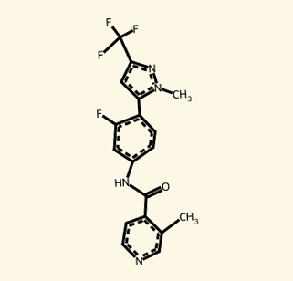 Cc1cnccc1C(=O)Nc1ccc(-c2cc(C(F)(F)F)nn2C)c(F)c1